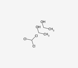 CCO.CCO.ClC(Cl)Cl